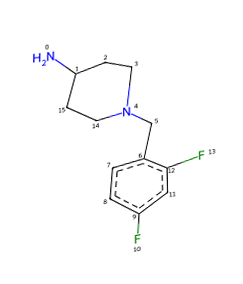 NC1CCN(Cc2ccc(F)cc2F)CC1